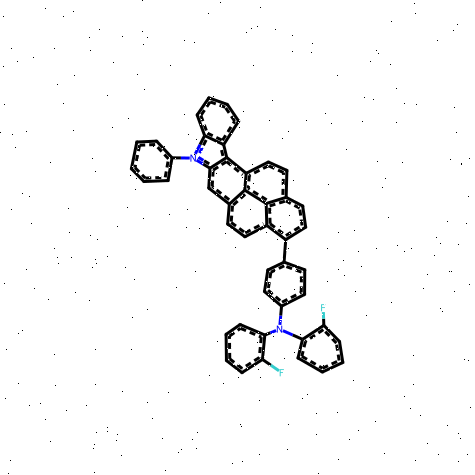 Fc1ccccc1N(c1ccc(-c2ccc3ccc4c5c(ccc2c35)cc2c4c3ccccc3n2-c2ccccc2)cc1)c1ccccc1F